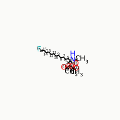 CC(=O)NC(CCCCCCCCCCCCF)(COC(C)=O)COC(C)=O